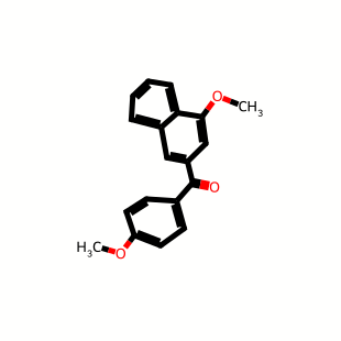 COc1ccc(C(=O)c2cc(OC)c3ccccc3c2)cc1